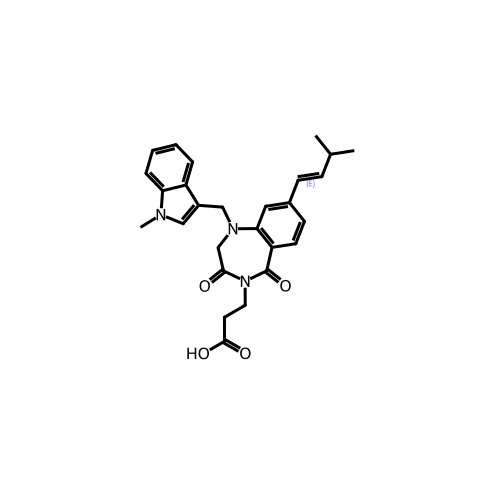 CC(C)/C=C/c1ccc2c(c1)N(Cc1cn(C)c3ccccc13)CC(=O)N(CCC(=O)O)C2=O